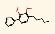 CCCCCc1ccc(-c2ccccc2)c(OC)c1OC